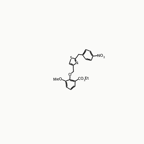 CCOC(=O)c1cccc(OC)c1OCc1csc(Cc2ccc([N+](=O)[O-])cc2)n1